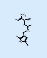 Cc1cc(COC(C)CN(O)C(N)=O)c(C)o1